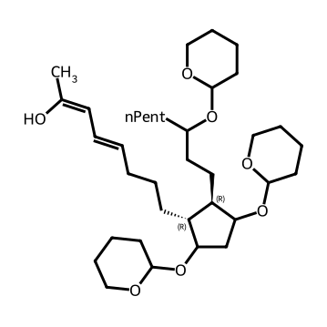 CCCCCC(CC[C@H]1C(OC2CCCCO2)CC(OC2CCCCO2)[C@@H]1CCCC=CC=C(C)O)OC1CCCCO1